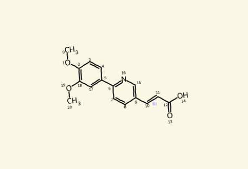 COc1ccc(-c2ccc(/C=C/C(=O)O)cn2)cc1OC